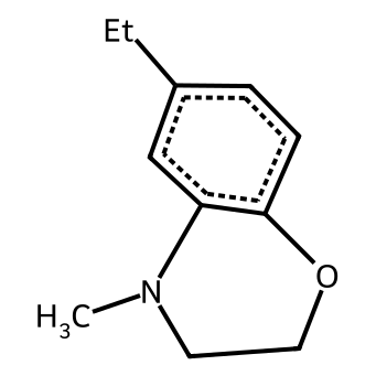 CCc1ccc2c(c1)N(C)CCO2